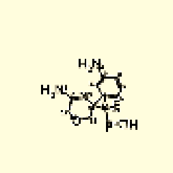 Cl.NC1=NC(c2cccc(N)c2)(C(F)F)COC1